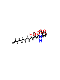 C=CCCCCCCCCCC(O)CC(=O)N[C@H]1CCOC1=O